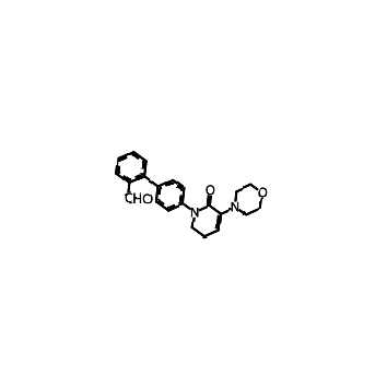 O=Cc1ccccc1-c1ccc(N2CCC=C(N3CCOCC3)C2=O)cc1